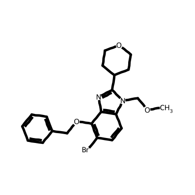 COCn1c(C2CCOCC2)nc2c(OCc3ccccc3)c(Br)ccc21